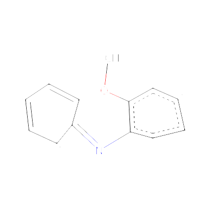 COc1ccccc1N=C1C=[C]C=CC1